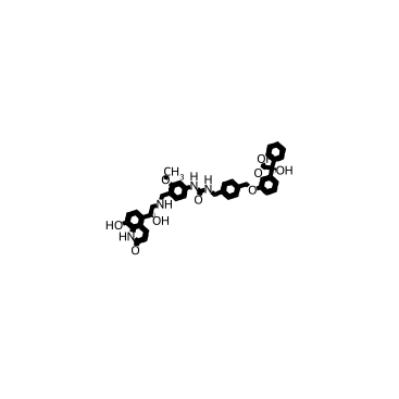 COc1cc(NC(=O)NCc2ccc(COc3cccc([C@](O)(C(=O)O)c4ccccc4)c3)cc2)ccc1CNC[C@H](O)c1ccc(O)c2[nH]c(=O)ccc12